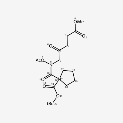 COC(=O)CCC(=O)CN(OC(C)=O)C(=O)[N+]1(C(=O)OC(C)(C)C)CCCC1